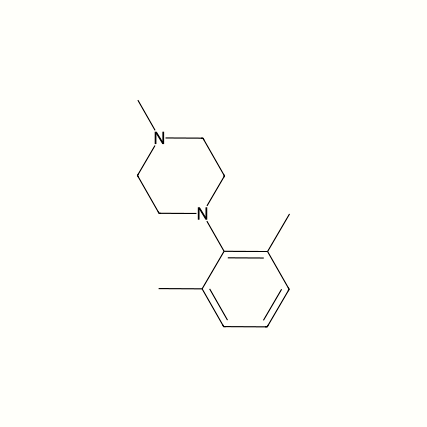 Cc1cccc(C)c1N1CCN(C)CC1